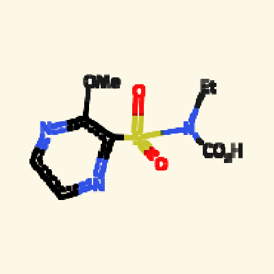 CCN(C(=O)O)S(=O)(=O)c1nccnc1OC